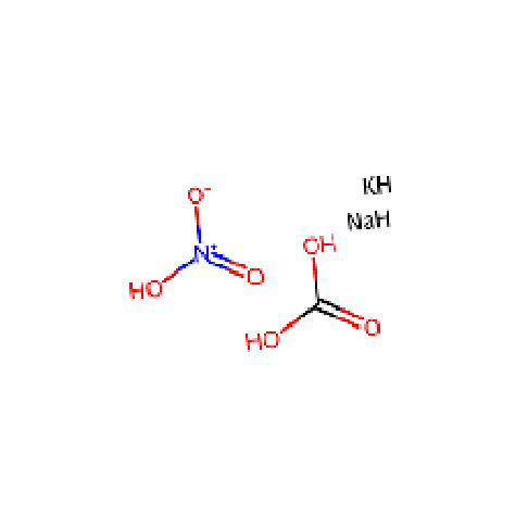 O=C(O)O.O=[N+]([O-])O.[KH].[NaH]